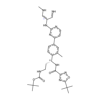 CN/C=C(\C=N)Nc1nccc(-c2ccc([C@@H](CCNC(=O)OC(C)(C)C)NC(=O)c3noc(C(C)(C)C)n3)c(C)c2)n1